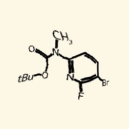 CN(C(=O)OC(C)(C)C)c1ccc(Br)c(F)n1